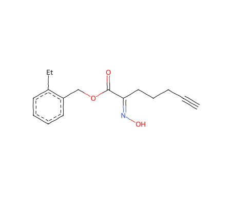 C#CCCCC(=NO)C(=O)OCc1ccccc1CC